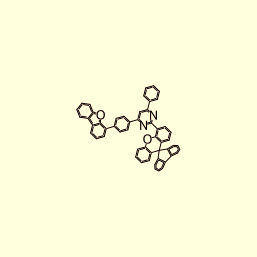 c1ccc(-c2cc(-c3ccc(-c4cccc5c4oc4ccccc45)cc3)nc(-c3cccc4c3Oc3ccccc3C43c4ccccc4-c4ccccc43)n2)cc1